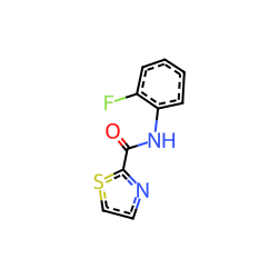 O=C(Nc1ccccc1F)c1nccs1